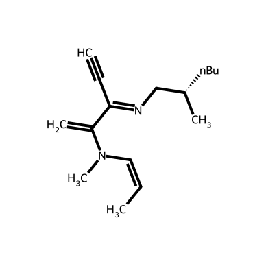 C#C/C(=N\C[C@@H](C)CCCC)C(=C)N(C)/C=C\C